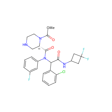 COC(=O)N1CCNC[C@H]1C(=O)N(c1cccc(F)c1)C(C(=O)NC1CC(F)(F)C1)c1ccccc1Cl